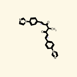 CC(C(=O)/C=C/c1ccc(-n2ccnc2)cc1)C(=O)/C=C/c1ccc(-n2ccnc2)cc1